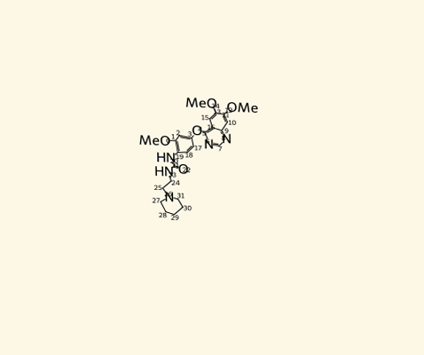 COc1cc(Oc2ncnc3cc(OC)c(OC)cc23)ccc1NC(=O)NCCN1CCCCC1